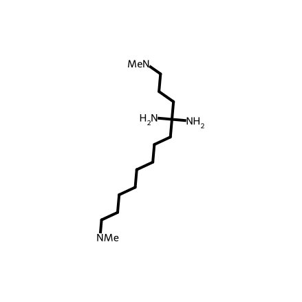 CNCCCCCCCCC(N)(N)CCCNC